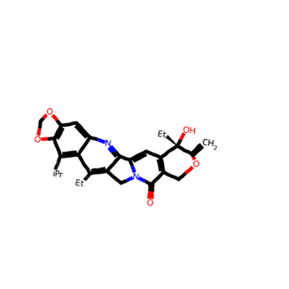 C=C1OCc2c(cc3n(c2=O)Cc2c-3nc3cc4c(c(C(C)C)c3c2CC)OCO4)[C@@]1(O)CC